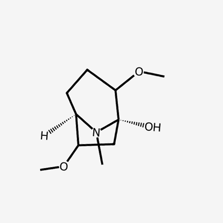 COC1C[C@]2(O)C(OC)CC[C@H]1N2C